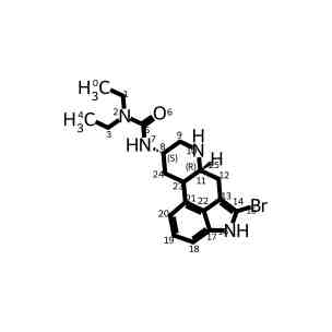 CCN(CC)C(=O)N[C@@H]1CN[C@@H]2Cc3c(Br)[nH]c4cccc(c34)C2C1